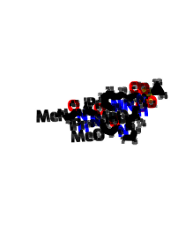 CC[C@H](C)[C@@H]([C@@H](CC(=O)N1CCC[C@H]1[C@H](OC)[C@@H](C)C(=O)N[C@@H](Cc1ccccn1)C(=O)NS(=O)(=O)C1CC1)OC)N(C)C(=O)[C@@H](NC(=O)[C@@H](NC)C(C)C)C(C)C